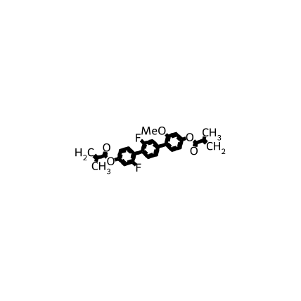 C=C(C)C(=O)Oc1ccc(-c2ccc(-c3ccc(OC(=O)C(=C)C)cc3OC)cc2F)c(F)c1